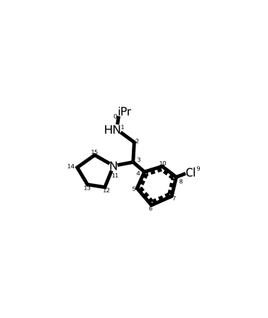 CC(C)NCC(c1cccc(Cl)c1)N1CCCC1